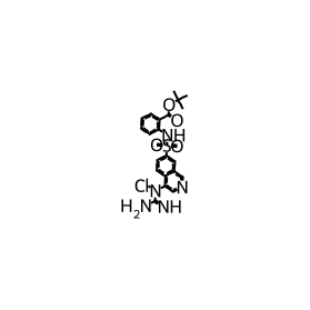 CC(C)(C)OC(=O)c1ccccc1NS(=O)(=O)c1ccc2c(N(Cl)C(=N)N)cncc2c1